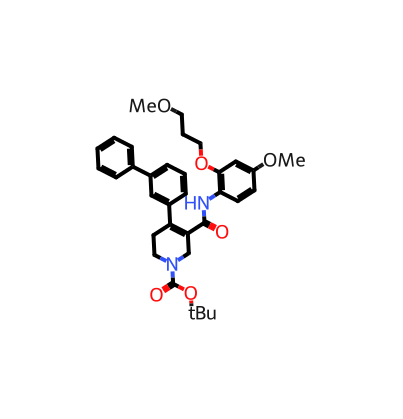 COCCCOc1cc(OC)ccc1NC(=O)C1=C(c2cccc(-c3ccccc3)c2)CCN(C(=O)OC(C)(C)C)C1